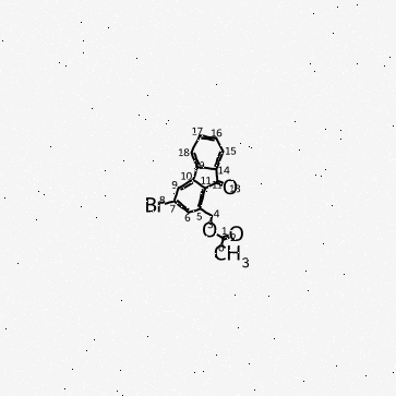 CC(=O)OCc1cc(Br)cc2c1C(=O)c1ccccc1-2